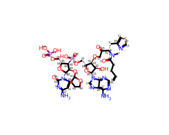 C=CCCC(=O)N(C)[C@@H](Cc1cscn1)C(=O)CO[C@H]1[C@@H](O)[C@H](n2cnc3c(N)ncnc32)O[C@@H]1COP(=O)(O)[C@H]1[C@@H](OC2CCCO2)[C@H](n2ccc(N)nc2=O)O[C@@H]1COP(=O)(O)O